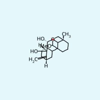 C=C1[C@H]2CC[C@]3(C(C2)C24CCC[C@@](C)(CO[C@@H]2OC)C4C[C@H]3O)[C@H]1O